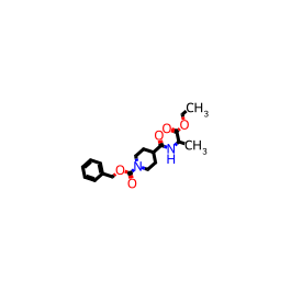 CCOC(=O)C(C)NC(=O)C1CCN(C(=O)OCc2ccccc2)CC1